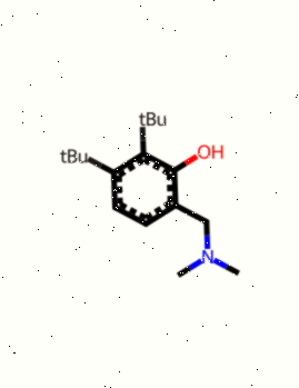 CN(C)Cc1ccc(C(C)(C)C)c(C(C)(C)C)c1O